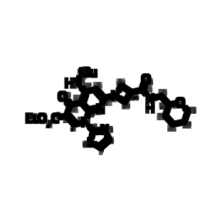 CCOC(=O)c1cn(-c2nccs2)c2nc(N3CC(C(=O)NCC4CCCCO4)C3)cc(NC(C)(C)C)c2c1=O